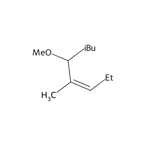 CCC=C(C)C(OC)C(C)CC